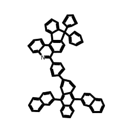 c1ccc(C2(c3ccccc3)c3ccccc3-c3c2ccc2c(-c4ccc(-c5ccc6c(-c7ccc8ccccc8c7)c7ccccc7c(-c7ccc8ccccc8c7)c6c5)cc4)nc4ccccc4c32)cc1